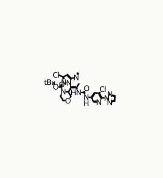 C=Nc1cc(Cl)nn1/C(=C(\C)NC(=O)Nc1cnc(-n2nccn2)c(Cl)c1)C1COCCN1C(=O)OC(C)(C)C